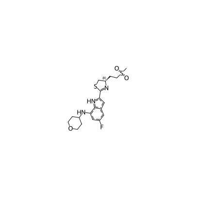 CS(=O)(=O)CC[C@@H]1CSC(c2cc3cc(F)cc(NC4CCOCC4)c3[nH]2)=N1